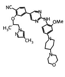 COc1cc(N2CCC(N3CCOCC3)CC2)ccc1Nc1ncc(-c2ccc(C#N)c(O[C@@H](C)Cn3cc(C)cn3)c2)cn1